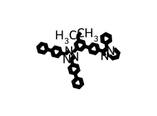 CC(C)c1cc(-c2ccc(-c3nc4ccccn4c3-c3ccccc3)cc2)cc(-c2nc(-c3ccc(-c4ccccc4)cc3)nc(-c3ccc(-c4ccccc4)cc3)n2)c1